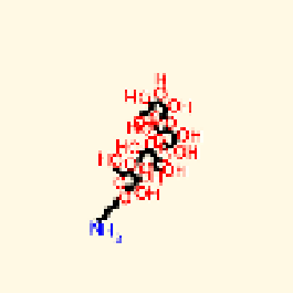 NCCCCCO[C@@H]1OC(CO)[C@@H](O[C@H]2OC(CO)[C@H](O[C@H]3OC(CO)[C@@H](O[C@@H]4OC(CO)[C@@H](O)[C@H](O)C4O)[C@H](O)C3O)[C@H](O)C2O)[C@H](O)C1O